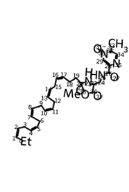 CC/C=C\C/C=C\C/C=C\C/C=C\C/C=C\C/C=C\CCC(=O)NC(CNC(=O)c1c[n+]([O-])c(C)cn1)C(=O)OC